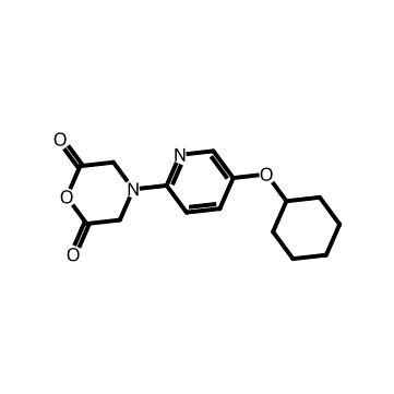 O=C1CN(c2ccc(OC3CCCCC3)cn2)CC(=O)O1